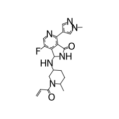 C=CC(=O)N1CC(NC2NC(=O)c3c(-c4cnn(C)c4)ncc(F)c32)CCC1C